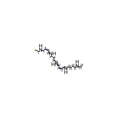 CCNC/C=C\CNCCCCNC/C=C\CNCCCCNCC